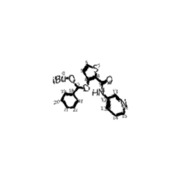 CCC(C)OC(Oc1ccsc1C(=O)Nc1cccnc1)c1ccccc1